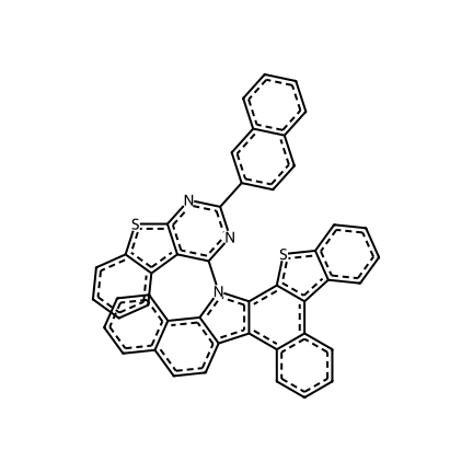 c1ccc2cc(-c3nc(-n4c5c6ccccc6ccc5c5c6ccccc6c6c7ccccc7sc6c54)c4c(n3)sc3ccccc34)ccc2c1